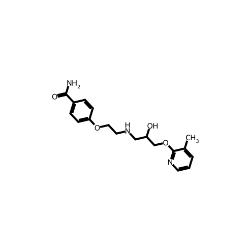 Cc1cccnc1OCC(O)CNCCOc1ccc(C(N)=O)cc1